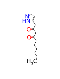 CCCCCCC(=O)CC(=O)Cc1ccn[nH]1